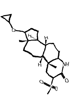 C[C@]12CC(S(C)(=O)=O)C(=O)NC1CC[C@@H]1[C@H]2CC[C@]2(C)C(OC3CC3)CC[C@@H]12